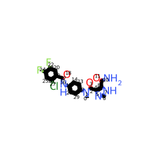 CN(C(=O)c1nc[nH]c1C(N)=O)c1ccc(NC(=O)c2cc(F)c(F)cc2Cl)cc1